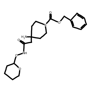 NC1(CC(=O)NOC2CCCCO2)CCN(C(=O)OCc2ccccc2)CC1